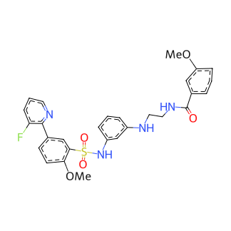 COc1cccc(C(=O)NCCNc2cccc(NS(=O)(=O)c3cc(-c4ncccc4F)ccc3OC)c2)c1